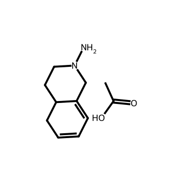 CC(=O)O.NN1CCC2CC=CC=C2C1